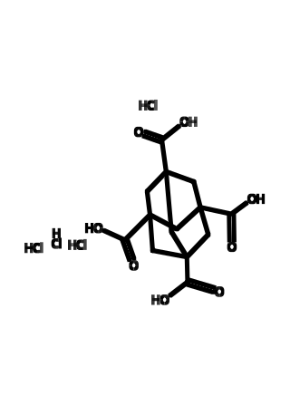 Cl.Cl.Cl.Cl.O=C(O)C12CC3(C(=O)O)CC(C(=O)O)(C1)CC(C(=O)O)(C2)C3